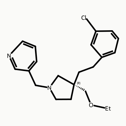 CCOC[C@]1(CCc2cccc(Cl)c2)CCN(Cc2cccnc2)C1